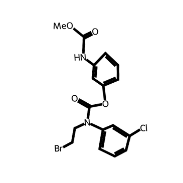 COC(=O)Nc1cccc(OC(=O)N(CCBr)c2cccc(Cl)c2)c1